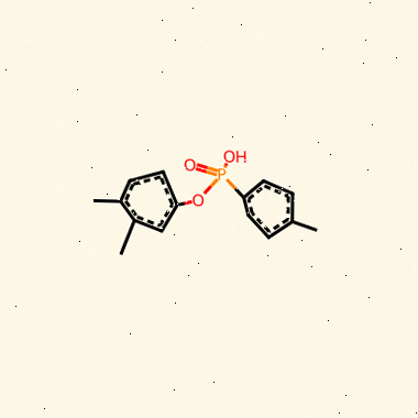 Cc1ccc(P(=O)(O)Oc2ccc(C)c(C)c2)cc1